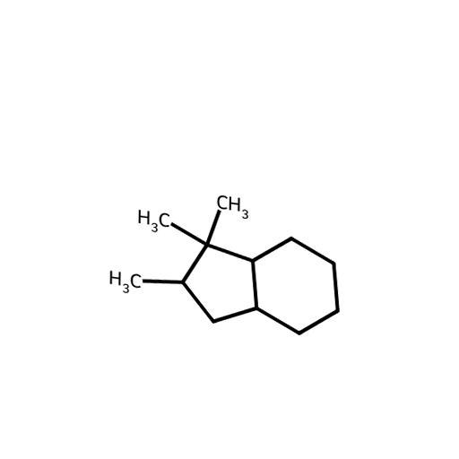 CC1CC2CCCCC2C1(C)C